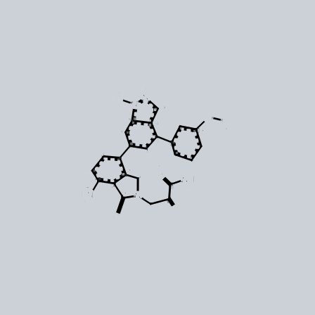 C=C(CN1Cc2c(-c3cc(-c4cccc(OC)c4)c4cnn(C)c4c3)ccc(N)c2C1=O)C(N)=O